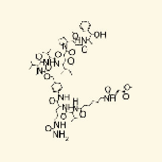 CC[C@H](C)[C@@H]([C@@H](CC(=O)N1CCC[C@H]1[C@H](OC)[C@@H](C)C(=O)N[C@H](C)[C@@H](O)c1ccccc1)OC)N(C)C(=O)[C@@H](NC(=O)[C@H](C(C)C)N(C)C(=O)OCc1ccc(NC(=O)[C@H](CCCNC(N)=O)NC(=O)[C@@H](NC(=O)CCCCCNC(=O)/C=C/C(=O)OC)C(C)C)cc1)C(C)C